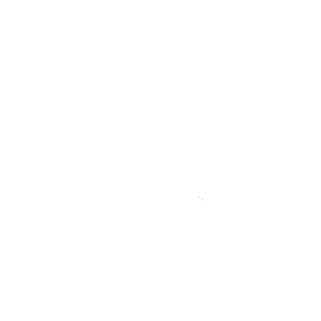 [CH2]/C=C/c1cncc(C(=O)c2ccccc2)c1